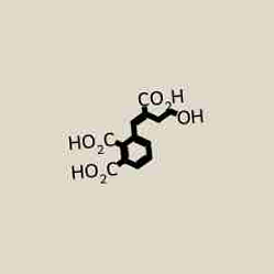 O=C(O)C(=Cc1cccc(C(=O)O)c1C(=O)O)CCO